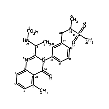 Cc1cccc2nc(C(C)NC(=O)O)n(-c3cccc(CN(C)S(C)(=O)=O)c3)c(=O)c12